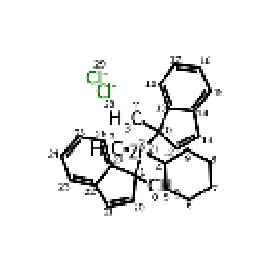 C[C]1([Zr+2]([CH3])([CH]2CCCCC2)[C]2(C)C=Cc3ccccc32)C=Cc2ccccc21.[Cl-].[Cl-]